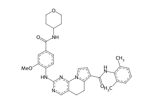 COc1cc(C(=O)NC2CCOCC2)ccc1Nc1ncc2c(n1)-n1ccc(C(=O)Nc3c(C)cccc3C)c1CC2